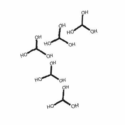 OC(O)O.OC(O)O.OC(O)O.OC(O)O.OC(O)O